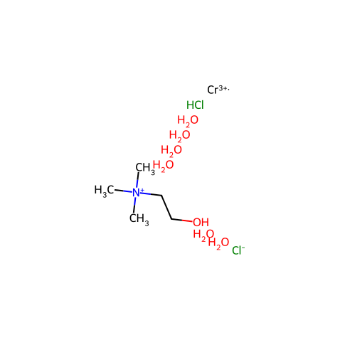 C[N+](C)(C)CCO.Cl.O.O.O.O.O.O.[Cl-].[Cr+3]